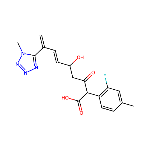 C=C(C=CC(O)CC(=O)C(C(=O)O)c1ccc(C)cc1F)c1nnnn1C